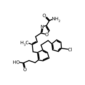 CC(=CCc1nc(C(N)=O)co1)Cc1c(CCC(=O)O)cccc1CCc1ccc(Cl)cc1